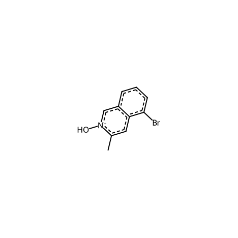 Cc1cc2c(Br)cccc2c[n+]1O